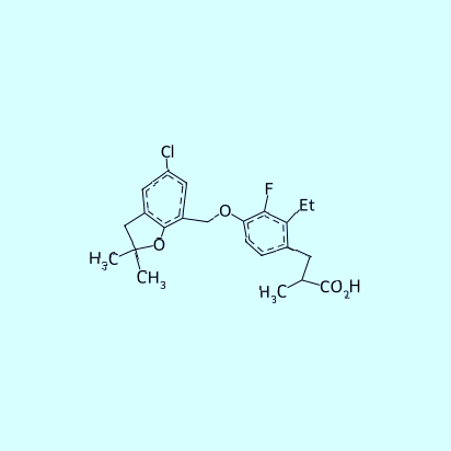 CCc1c(CC(C)C(=O)O)ccc(OCc2cc(Cl)cc3c2OC(C)(C)C3)c1F